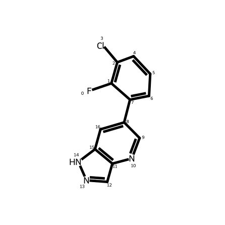 Fc1c(Cl)cccc1-c1cnc2cn[nH]c2c1